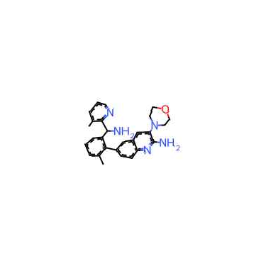 Cc1cccnc1C(N)c1cccc(C)c1-c1ccc2nc(N)c(N3CCOCC3)cc2c1